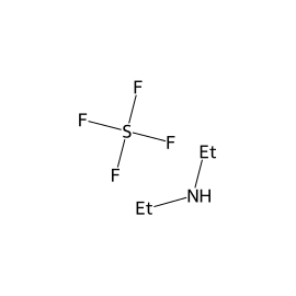 CCNCC.FS(F)(F)F